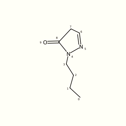 CCCCN1N=CCC1=O